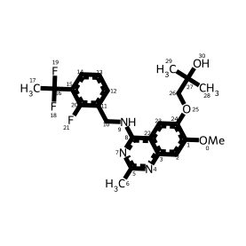 COc1cc2nc(C)nc(NCc3cccc(C(C)(F)F)c3F)c2cc1OCC(C)(C)O